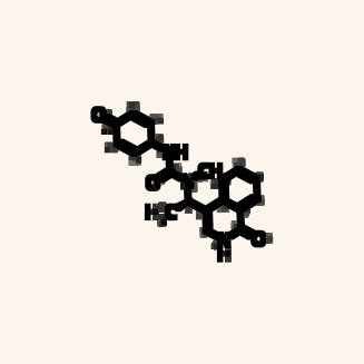 C[C@H](c1c[nH]c(=O)c2ccccc12)N(C)C(=O)NC1C=CC(=O)C=C1